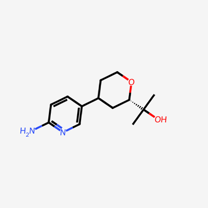 CC(C)(O)[C@@H]1CC(c2ccc(N)nc2)CCO1